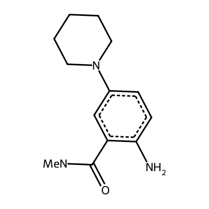 CNC(=O)c1cc(N2CCCCC2)ccc1N